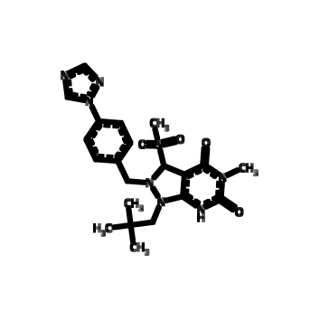 Cn1c(=O)[nH]c2c(c1=O)C(S(C)(=O)=O)N(Cc1ccc(-n3cncn3)cc1)N2CC(C)(C)C